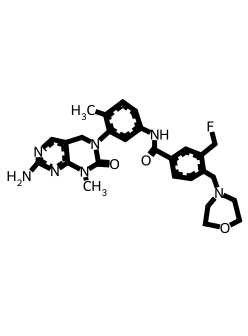 Cc1ccc(NC(=O)c2ccc(CN3CCOCC3)c(CF)c2)cc1N1Cc2cnc(N)nc2N(C)C1=O